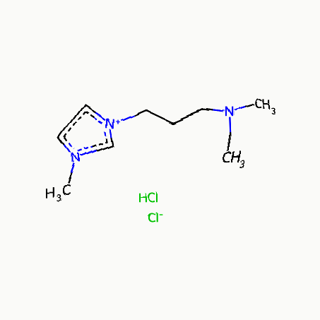 CN(C)CCC[n+]1ccn(C)c1.Cl.[Cl-]